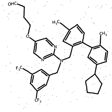 Cc1ccc(-c2cc(C3CCCC3)ccc2C)c(CN(Cc2cc(C(F)(F)F)cc(C(F)(F)F)c2)c2ncc(OCCCC=O)cn2)c1